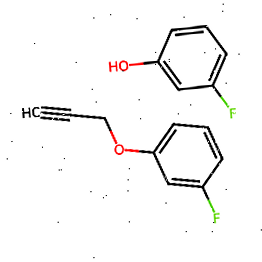 C#CCOc1cccc(F)c1.Oc1cccc(F)c1